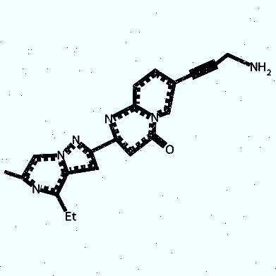 CCc1nc(C)cn2nc(-c3cc(=O)n4cc(C#CCN)ccc4n3)cc12